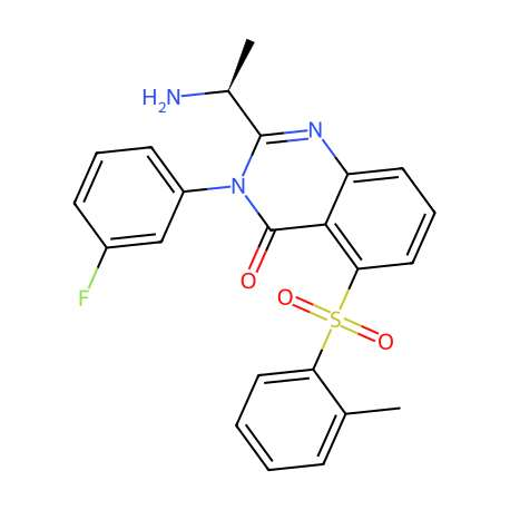 Cc1ccccc1S(=O)(=O)c1cccc2nc([C@H](C)N)n(-c3cccc(F)c3)c(=O)c12